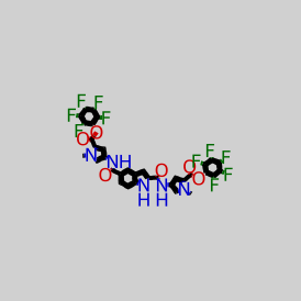 Cn1cc(NC(=O)c2ccc3[nH]c(C(=O)Nc4cc(C(=O)Oc5c(F)c(F)c(F)c(F)c5F)n(C)c4)cc3c2)cc1C(=O)Oc1c(F)c(F)c(F)c(F)c1F